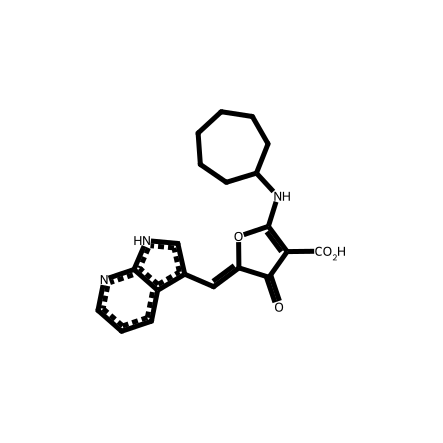 O=C(O)C1=C(NC2CCCCCC2)OC(=Cc2c[nH]c3ncccc23)C1=O